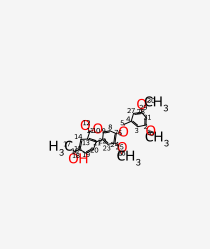 COc1cc(COc2cc3oc(=O)c4cc(C(C)O)ccc4c3cc2OC)cc(OC)c1